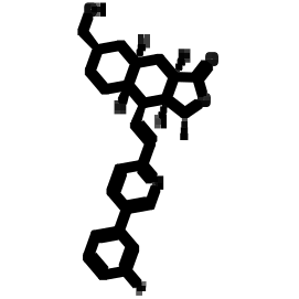 C[C@H]1OC(=O)[C@@H]2C[C@@H]3C[C@H](CO)CC[C@H]3[C@H](/C=C/c3ccc(-c4cccc(F)c4)cn3)[C@H]12